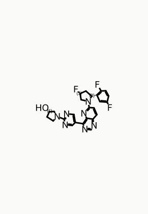 O[C@H]1CCN(c2ncc(-c3ncnc4ccc(N5C[C@@H](F)C[C@@H]5c5cc(F)ccc5F)nc34)cn2)C1